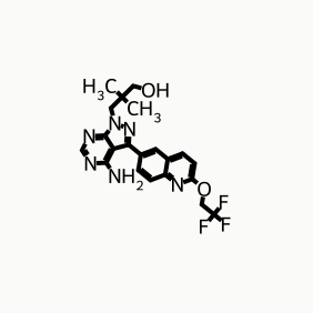 CC(C)(CO)Cn1nc(-c2ccc3nc(OCC(F)(F)F)ccc3c2)c2c(N)ncnc21